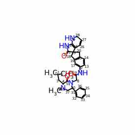 CC(C)CC1C(=O)N(CC(=O)Nc2ccc3c(c2)CC2(C3)C(=O)NC3=C2C=CCN3)C(c2ccccc2)CN1C